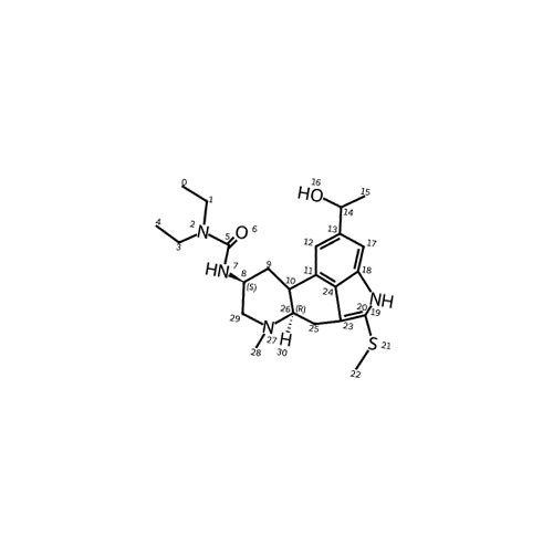 CCN(CC)C(=O)N[C@H]1CC2c3cc(C(C)O)cc4[nH]c(SC)c(c34)C[C@H]2N(C)C1